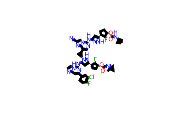 CC1(NC(=O)O[C@@H]2CC[C@H](c3cc(Nc4nc(-c5ccc(F)c(Cl)c5)cc5nccn45)[n+](C4CC4c4cnc(Nc5cc([C@@H]6CC[C@H](OC(=O)NC78CC(C7)C8)[C@@H]6F)[nH]n5)n5cc(C#N)nc45)[nH]3)[C@H]2F)CC1